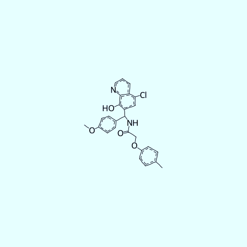 COc1ccc(C(NC(=O)COc2ccc(C)cc2)c2cc(Cl)c3cccnc3c2O)cc1